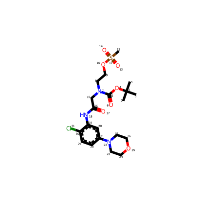 CC(C)(C)OC(=O)N(CCOS(C)(=O)=O)CC(=O)Nc1cc(N2CCOCC2)ccc1Cl